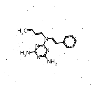 C=CC=CN(C=Cc1ccccc1)c1nc(N)nc(N)n1